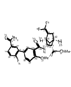 COC(=O)[C@H]1[C@@H]2CC(=C(F)F)[C@@H](C2)[C@H]1NC(=O)c1cc(-c2cc(C(N)=O)ccc2F)ccc1OC